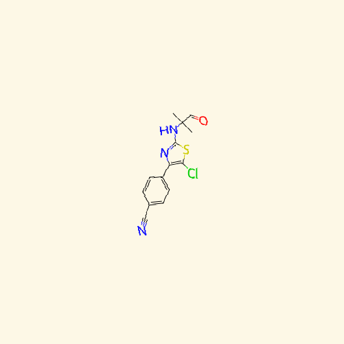 CC(C)(C=O)Nc1nc(-c2ccc(C#N)cc2)c(Cl)s1